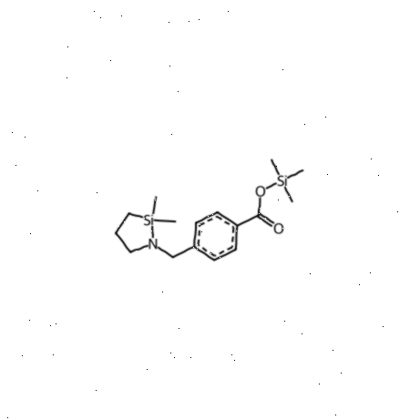 C[Si](C)(C)OC(=O)c1ccc(CN2CCC[Si]2(C)C)cc1